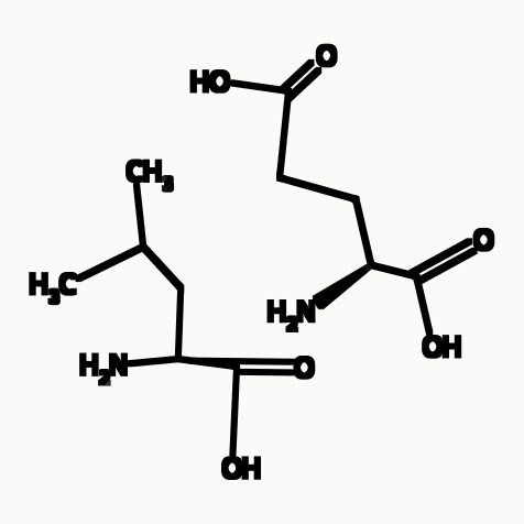 CC(C)CC(N)C(=O)O.N[C@@H](CCC(=O)O)C(=O)O